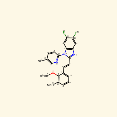 CCCCCOc1c(C=Cc2nc3cc(F)c(F)cc3n2-c2ccc(C#N)cn2)cccc1OC